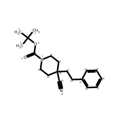 CC(C)(C)OC(=O)N1CCC(C#N)(CCc2ccccc2)CC1